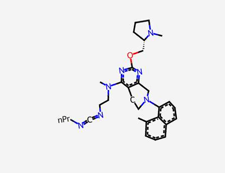 CCCN=C=NCCN(C)c1nc(OC[C@@H]2CCCN2C)nc2c1CCN(c1cccc3cccc(C)c13)C2